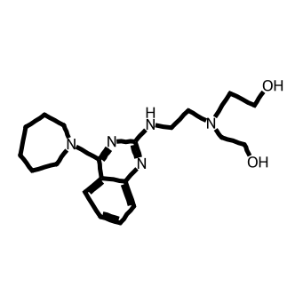 OCCN(CCO)CCNc1nc(N2CCCCCC2)c2ccccc2n1